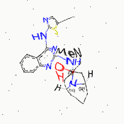 CNCC(O)N1[C@@H]2CCC[C@H]1C[C@H](Nc1nc(Nc3ncc(C)s3)c3ccccc3n1)C2